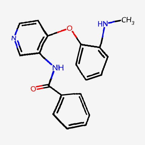 CNc1ccccc1Oc1ccncc1NC(=O)c1ccccc1